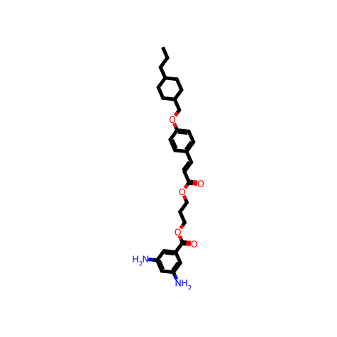 CCCC1CCC(COc2ccc(C=CC(=O)OCCCOC(=O)c3cc(N)cc(N)c3)cc2)CC1